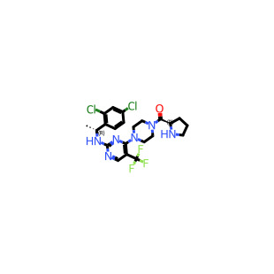 C[C@@H](Nc1ncc(C(F)(F)F)c(N2CCN(C(=O)[C@H]3CCCN3)CC2)n1)c1ccc(Cl)cc1Cl